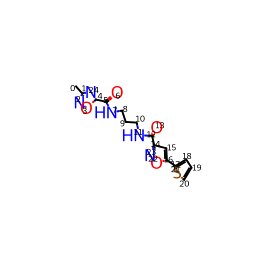 Cc1noc(C(=O)NCCCNC(=O)c2cc(-c3cccs3)on2)n1